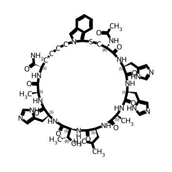 CC(=O)N[C@H]1CSc2c3ccccc3cn2CCCC[C@@H](C(N)=O)NC(=O)[C@H](C)NC(=O)[C@H](Cc2cnc[nH]2)NC(=O)[C@H]([C@@H](C)O)NC(=O)[C@H](CC(C)C)NC(=O)[C@H](C)NC(=O)[C@H](Cc2cnc[nH]2)NC(=O)[C@H](Cc2cnc[nH]2)NC1=O